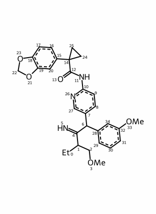 CCC(COC)C(=N)C(c1ccc(NC(=O)C2(c3ccc4c(c3)OCO4)CC2)nc1)c1cccc(OC)c1